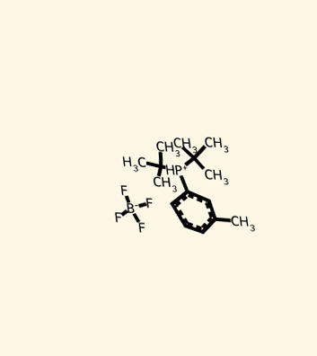 Cc1cccc([PH+](C(C)(C)C)C(C)(C)C)c1.F[B-](F)(F)F